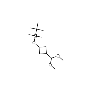 COC(OC)C1CC(O[Si](C)(C)C(C)(C)C)C1